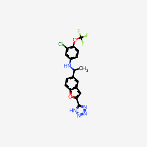 CC(Nc1ccc(OC(F)(F)F)c(Cl)c1)c1ccc2oc(-c3nnn[nH]3)cc2c1